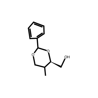 CC1COC(c2ccccc2)O[C@H]1CO